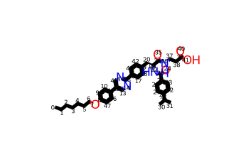 CCCCCCCOc1ccc(-c2cnc(-c3ccc(C[C@H](NC(=O)c4ccc(C(C)C)cc4)C(=O)NCCC(=O)O)cc3)nc2)cc1